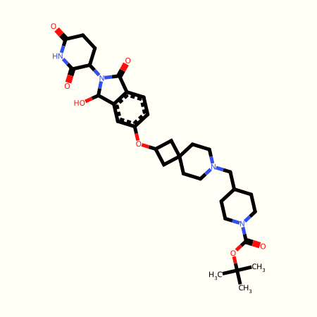 CC(C)(C)OC(=O)N1CCC(CN2CCC3(CC2)CC(Oc2ccc4c(c2)C(O)N(C2CCC(=O)NC2=O)C4=O)C3)CC1